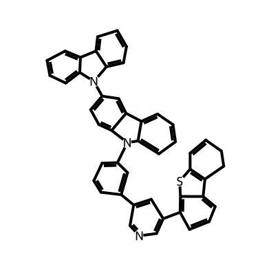 C1=Cc2sc3c(-c4cncc(-c5cccc(-n6c7ccccc7c7cc(-n8c9ccccc9c9ccccc98)ccc76)c5)c4)cccc3c2CC1